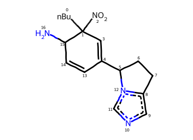 CCCCC1([N+](=O)[O-])C=C(C2CCc3cncn32)C=CC1N